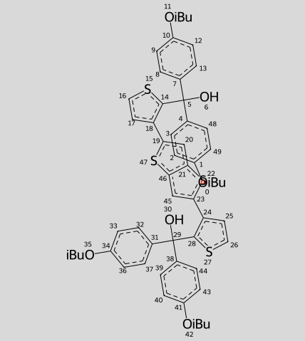 CC(C)COc1ccc(C(O)(c2ccc(OCC(C)C)cc2)c2sccc2-c2cc3sc(-c4ccsc4C(O)(c4ccc(OCC(C)C)cc4)c4ccc(OCC(C)C)cc4)cc3s2)cc1